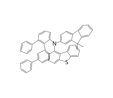 CC1(C)c2ccccc2-c2ccc(N(c3cccc(-c4ccccc4)c3-c3cccc(-c4ccccc4)c3)c3cccc4sc5ccccc5c34)cc21